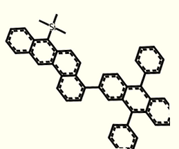 C[Si](C)(C)c1c2ccccc2cc2c1ccc1c(-c3ccc4c(-c5ccccc5)c5ccccc5c(-c5ccccc5)c4c3)cccc12